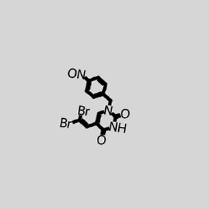 O=Nc1ccc(Cn2cc(C=C(Br)Br)c(=O)[nH]c2=O)cc1